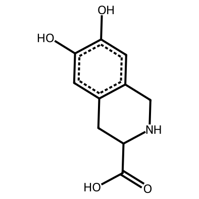 O=C(O)C1Cc2cc(O)c(O)cc2CN1